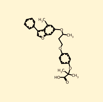 Cc1cc(OC(C)CCOc2ccc(OC(C)(C)C(=O)O)cc2)cc2occ(-c3ccccc3)c12